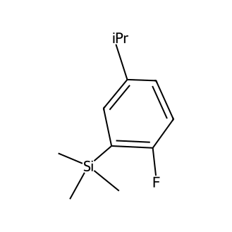 CC(C)c1ccc(F)c([Si](C)(C)C)c1